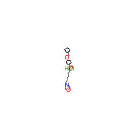 Cl.c1ccc(COc2ccc(OCCCCCCCN3CCOCC3)cc2)cc1